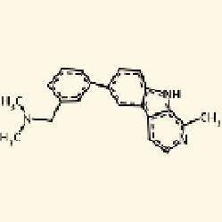 Cc1nccc2c1[nH]c1ccc(-c3cccc(CN(C)C)c3)cc12